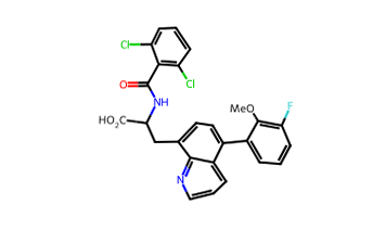 COc1c(F)cccc1-c1ccc(CC(NC(=O)c2c(Cl)cccc2Cl)C(=O)O)c2ncccc12